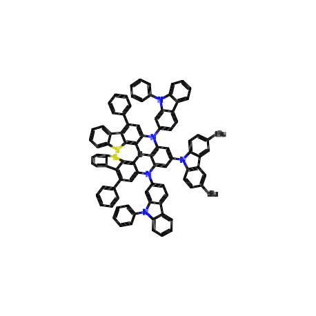 CC(C)(C)c1ccc2c(c1)c1cc(C(C)(C)C)ccc1n2-c1cc2c3c(c1)N(c1ccc4c5ccccc5n(-c5ccccc5)c4c1)c1cc(-c4ccccc4)c4c(sc5ccccc54)c1B3c1c(cc(-c3ccccc3)c3c1sc1ccccc13)N2c1ccc2c3ccccc3n(-c3ccccc3)c2c1